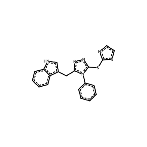 c1ccc(-n2c(Cc3c[nH]c4ccccc34)nnc2Sc2nccs2)cc1